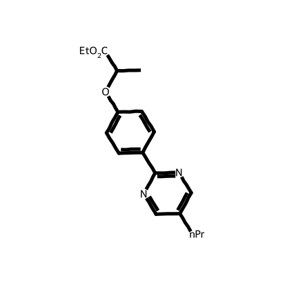 CCCc1cnc(-c2ccc(OC(C)C(=O)OCC)cc2)nc1